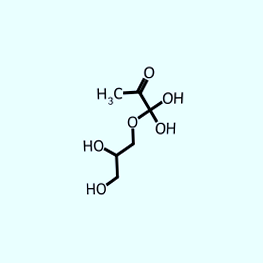 CC(=O)C(O)(O)OCC(O)CO